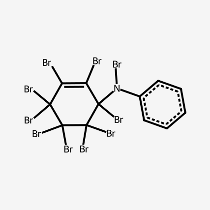 BrC1=C(Br)C(Br)(N(Br)c2ccccc2)C(Br)(Br)C(Br)(Br)C1(Br)Br